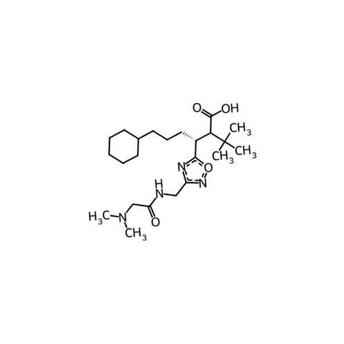 CN(C)CC(=O)NCc1noc([C@H](CCCC2CCCCC2)C(C(=O)O)C(C)(C)C)n1